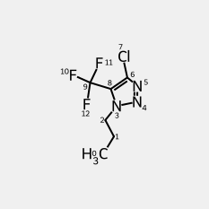 CCCn1nnc(Cl)c1C(F)(F)F